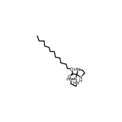 CCCCCCCCCCCCOC(=O)C1(N2NCCN2)NCCN1